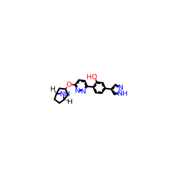 Oc1cc(-c2cn[nH]c2)ccc1-c1ccc(O[C@H]2C[C@H]3CC[C@@H](C2)N3)nn1